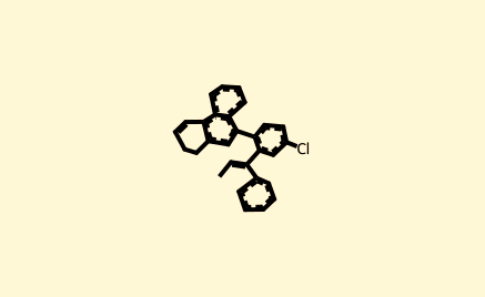 C/C=C(\c1ccccc1)c1cc(Cl)ccc1-c1cc2c(c3ccccc13)C=CCC2